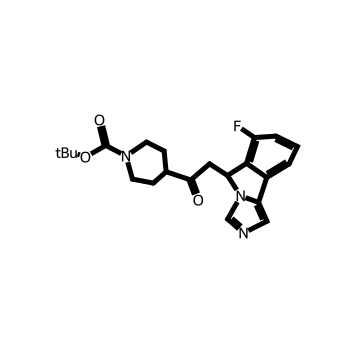 CC(C)(C)OC(=O)N1CCC(C(=O)CC2c3c(F)cccc3-c3cncn32)CC1